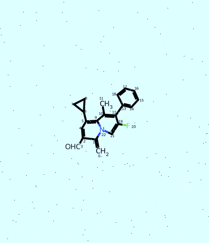 C=C1C(C=O)=CC(C2CC2)=C2C(C)=C(c3ccccc3)C(F)=CN12